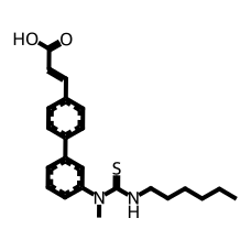 CCCCCCNC(=S)N(C)c1cccc(-c2ccc(/C=C/C(=O)O)cc2)c1